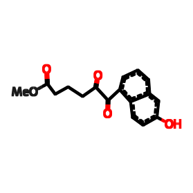 COC(=O)CCCC(=O)C(=O)c1cccc2cc(O)ccc12